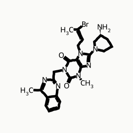 C/C(Br)=C\Cn1c(N2CCC[C@@H](N)C2)nc2c1c(=O)n(Cc1nc(C)c3ccccc3n1)c(=O)n2C